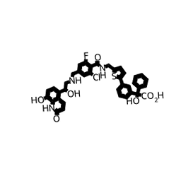 O=C(NCc1ccc(-c2cccc(C(O)(C(=O)O)c3ccccc3)c2)s1)c1c(F)cc(CNCC(O)c2ccc(O)c3[nH]c(=O)ccc23)cc1Cl